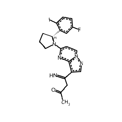 CC(=O)CC(=N)c1cnn2ccc(N3CCC[C@@H]3c3cc(F)ccc3I)nc12